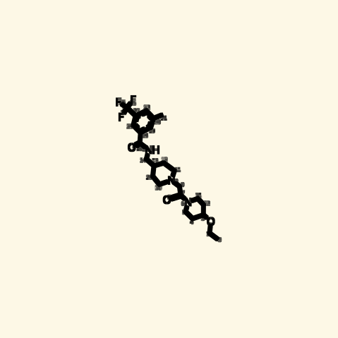 CCOC1CCN(C(=O)CN2CCC(CNC(=O)c3cc(C)cc(C(F)(F)F)c3)CC2)CC1